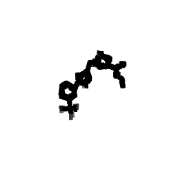 CCOC(=O)c1cnn(Cc2cnc(-c3cccc(C(F)(F)F)c3)s2)c1